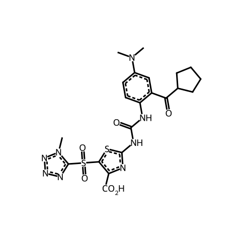 CN(C)c1ccc(NC(=O)Nc2nc(C(=O)O)c(S(=O)(=O)c3nnnn3C)s2)c(C(=O)C2CCCC2)c1